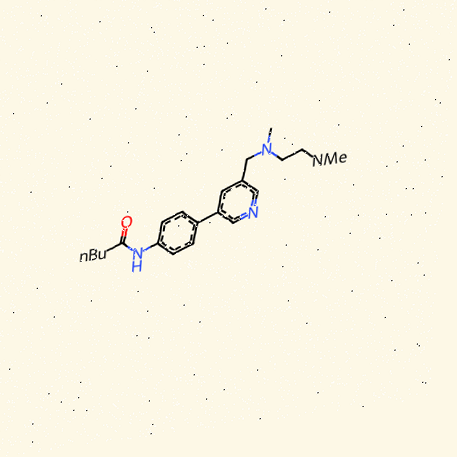 CCCCC(=O)Nc1ccc(-c2cncc(CN(C)CCNC)c2)cc1